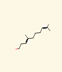 CC/C(C)=C/CCC/C(C)=C/CCO